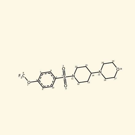 O=S(=O)(c1ccc(OC(F)(F)F)cc1)N1CCC(N2CCOCC2)CC1